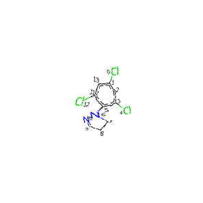 Clc1cc(Cl)c(N2CCC=N2)c(Cl)c1